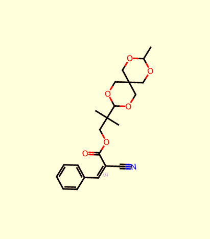 CC1OCC2(CO1)COC(C(C)(C)COC(=O)/C(C#N)=C\c1ccccc1)OC2